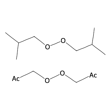 CC(=O)COOCC(C)=O.CC(C)COOCC(C)C